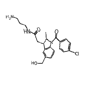 CC1C(CC(=O)NCCCN)c2cc(CO)ccc2N1C(=O)c1ccc(Cl)cc1